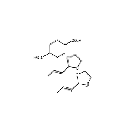 CC=CC1OCCO1.CC=CC1OCCO1.O=C(O)C1CCC(C(=O)O)CC1